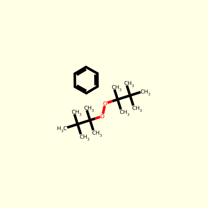 CC(C)(C)C(C)(C)OOC(C)(C)C(C)(C)C.c1ccccc1